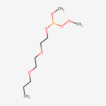 CCCOCCOCCOP(OC)OOC